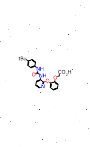 CC(C)(C)c1ccc(NC(=O)Nc2cccnc2Oc2ccccc2OCC(=O)O)cc1